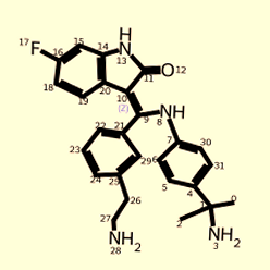 CC(C)(N)c1ccc(N/C(=C2\C(=O)Nc3cc(F)ccc32)c2cccc(CCN)c2)cc1